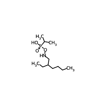 CCCCC(CC)CNOP(=O)(O)C(C)C